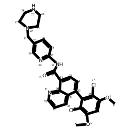 COc1cc(OC)c(Cl)c(-c2ccc(C(=O)Nc3ccc(CN4CCNCC4)cn3)c3ncccc23)c1Cl